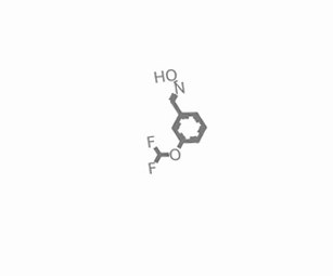 ON=Cc1cccc(OC(F)F)c1